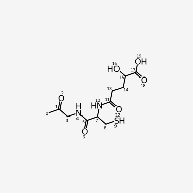 CC(=O)CNC(=O)C(CS)NC(=O)CCC(O)C(=O)O